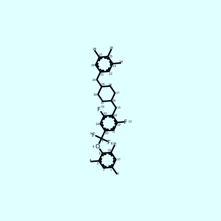 Cc1cc(C)c(OC(F)(F)c2cc(F)c(CC3CCC(Cc4cc(C)c(C)c(C)c4)CC3)c(F)c2)c(C)c1